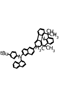 CC(C)(C)c1ccc(N(c2ccc3cc(C4C=c5c6n7c8c(cccc58)C(C)(C)c5cccc(c5-7)C(C)(C)C=6C4)ccc3c2)c2cccc3ccccc23)cc1